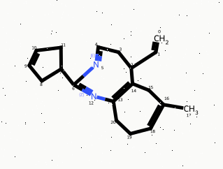 C=CC1C/C=N/C(C2CC=CC2)=N\C2=C1CC(C)=CCC2